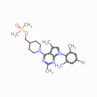 Cc1nc(N2CCC(COP(C)(C)=O)CC2)c2c(C)cn(-c3c(C)cc(Br)cc3C)c2n1